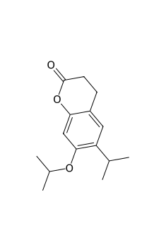 CC(C)Oc1cc2c(cc1C(C)C)CCC(=O)O2